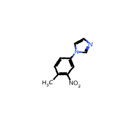 Cc1ccc(-n2ccnc2)cc1[N+](=O)[O-]